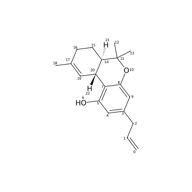 C=CCc1cc(O)c2c(c1)OC(C)(C)[C@@H]1CCC(C)=C[C@@H]21